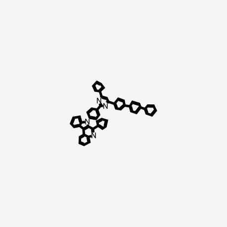 c1ccc(-c2ccc(-c3ccc(-c4cc(-c5ccccc5)nc(-c5ccc(-n6c7ccccc7c7c8ccccc8nc(-c8ccccc8)c76)cc5)n4)cc3)cc2)cc1